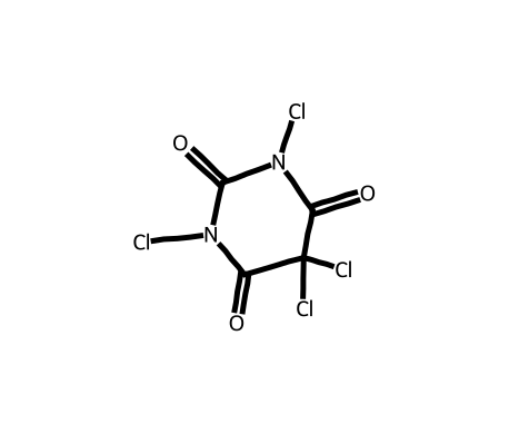 O=C1N(Cl)C(=O)C(Cl)(Cl)C(=O)N1Cl